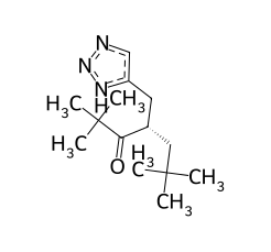 CC(C)(C)C[C@@H](Cc1cnn[nH]1)C(=O)C(C)(C)C